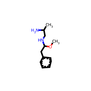 COC(Cc1ccccc1)NCC(C)N